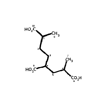 CC(CCC(CC(C)C(=O)O)C(=O)O)C(=O)O